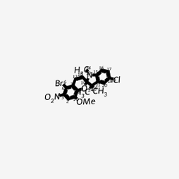 COc1cc([N+](=O)[O-])c(Br)c2c1OC1(C=C2)N(C)c2ccc(Cl)cc2C1(C)C